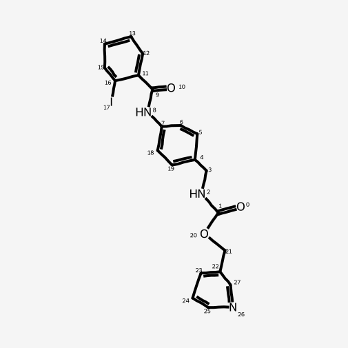 O=C(NCc1ccc(NC(=O)c2ccccc2I)cc1)OCc1cccnc1